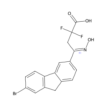 O=C(O)C(F)(F)C/C(=N\O)c1ccc2c(c1)-c1ccc(Br)cc1C2